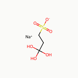 O=S(=O)([O-])CCC(O)(O)O.[Na+]